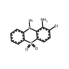 CCc1ccc2c(c1N)N(C(C)C)c1ccccc1S2(=O)=O